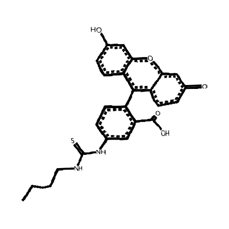 CCCCNC(=S)Nc1ccc(-c2c3ccc(=O)cc-3oc3cc(O)ccc23)c(C(=O)O)c1